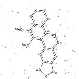 COc1c(OC)c2c3cc4c(cc3nnc2c2ccccc12)OCO4